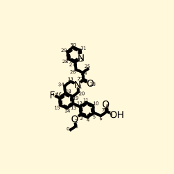 CCOc1cc(CC(=O)O)ccc1-c1ccc(F)c2c1CN(C(=O)C(C)Cc1ccccn1)CC2